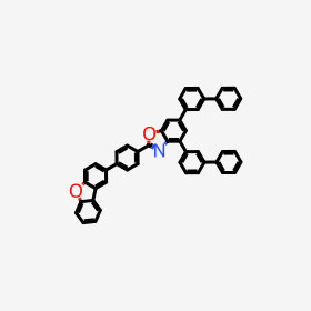 c1ccc(-c2cccc(-c3cc(-c4cccc(-c5ccccc5)c4)c4nc(-c5ccc(-c6ccc7oc8ccccc8c7c6)cc5)oc4c3)c2)cc1